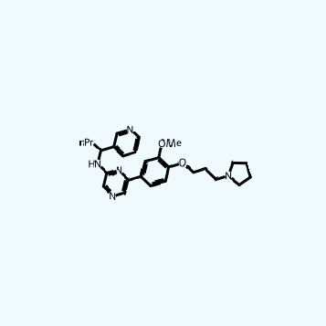 CCCC(Nc1cncc(-c2ccc(OCCCN3CCCC3)c(OC)c2)n1)c1cccnc1